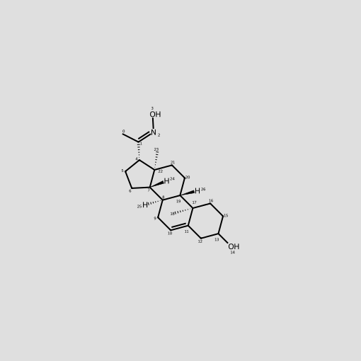 CC(=NO)[C@H]1CC[C@H]2[C@@H]3CC=C4CC(O)CC[C@]4(C)[C@H]3CC[C@]12C